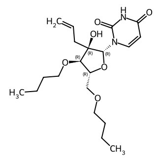 C=CC[C@@]1(O)[C@H](OCCCC)[C@@H](COCCCC)O[C@H]1n1ccc(=O)[nH]c1=O